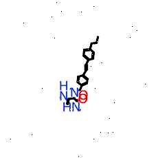 C=C(NC)C(C(=O)NC)N(C)C(=O)c1ccc(C#Cc2ccc(CCC)cc2)cc1